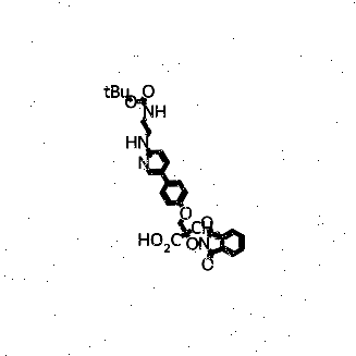 CC(C)(C)OC(=O)NCCNc1ccc(-c2ccc(OCC(C)(ON3C(=O)c4ccccc4C3=O)C(=O)O)cc2)cn1